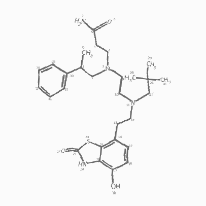 CC(CN(CCC(N)=O)CCN(CCc1ccc(O)c2[nH]c(=O)sc12)CC(C)(C)C)c1ccccc1